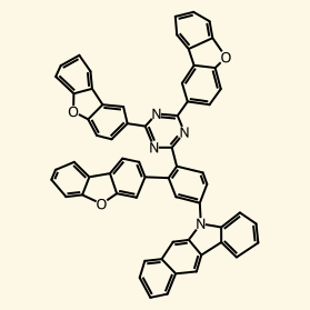 c1ccc2cc3c(cc2c1)c1ccccc1n3-c1ccc(-c2nc(-c3ccc4oc5ccccc5c4c3)nc(-c3ccc4oc5ccccc5c4c3)n2)c(-c2ccc3c(c2)oc2ccccc23)c1